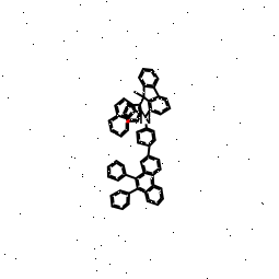 CC1(c2ccccc2)c2ccccc2-c2cccc(N(c3ccc(-c4ccc5c(c4)c(-c4ccccc4)c(-c4ccccc4)c4ccccc45)cc3)c3cccc4ccccc34)c21